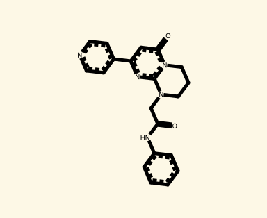 O=C(CN1CCCn2c1nc(-c1ccncc1)cc2=O)Nc1ccccc1